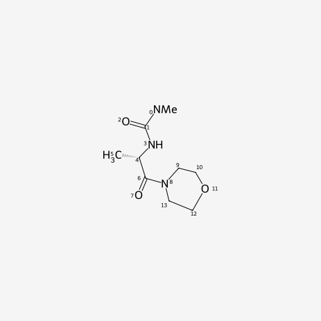 CNC(=O)N[C@@H](C)C(=O)N1CCOCC1